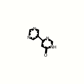 O=c1cc(-c2cncnc2)nc[nH]1